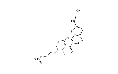 O=C(c1ccc2ncc(NCCO)nc2c1)c1c(Cl)ccc(CCCN[SH](=O)=O)c1F